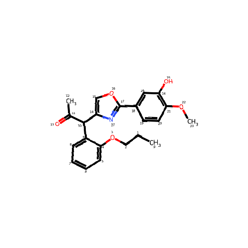 CCCOc1ccccc1C(C(C)=O)c1coc(-c2ccc(OC)c(O)c2)n1